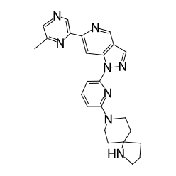 Cc1cncc(-c2cc3c(cn2)cnn3-c2cccc(N3CCC4(CCCN4)CC3)n2)n1